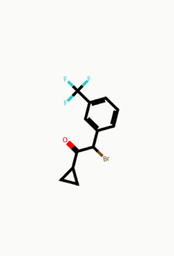 O=C(C1CC1)C(Br)c1cccc(C(F)(F)F)c1